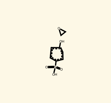 C1CO1.O=S(=O)(O)c1ccc(O)cc1